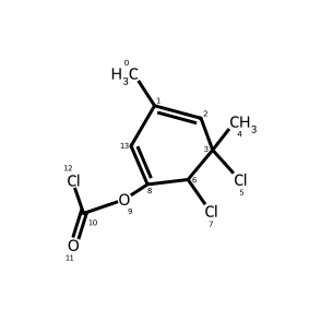 CC1=CC(C)(Cl)C(Cl)C(OC(=O)Cl)=C1